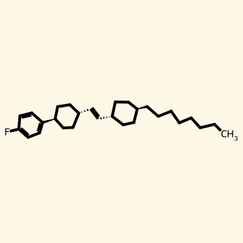 CCCCCCCC[C@H]1CC[C@H](C=C[C@H]2CC[C@H](c3ccc(F)cc3)CC2)CC1